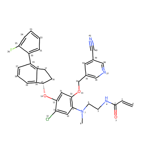 C=CC(=O)NCCN(C)c1cc(Cl)c(O[C@H]2CCc3c(-c4ccccc4F)cccc32)cc1OCc1cncc(C#N)c1